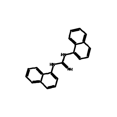 N=C(Nc1cccc2ccccc12)Nc1cccc2ccccc12